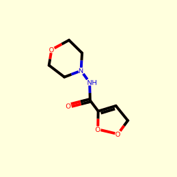 O=C(NN1CCOCC1)C1=CCOO1